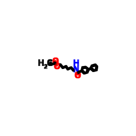 C=CC(=O)OCCCCCCNC(=O)c1ccc(-c2ccccc2)cc1